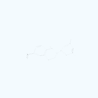 C[C@H]1c2cnc(C(=O)O)cc2CCN1c1cc(F)cc(F)c1